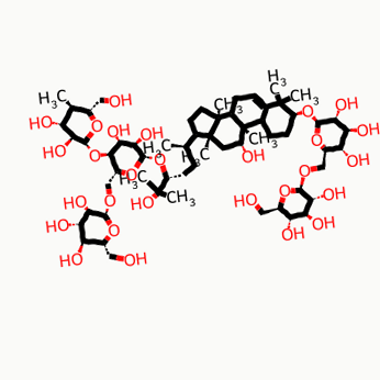 C[C@@H]1[C@@H](O)[C@H](O)[C@@H](O[C@H]2[C@H](O)[C@@H](O)[C@H](O[C@H](CC[C@@H](C)C3CC[C@@]4(C)C5CC=C6C(CC[C@H](O[C@@H]7O[C@H](CO[C@@H]8O[C@H](CO)[C@@H](O)[C@H](O)[C@H]8O)[C@@H](O)[C@H](O)[C@H]7O)C6(C)C)[C@]5(C)[C@H](O)C[C@]34C)C(C)(C)O)O[C@@H]2CO[C@@H]2O[C@H](CO)[C@@H](O)[C@H](O)[C@H]2O)O[C@H]1CO